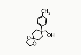 Cc1ccc(C2(CO)CCC3(CC2)OCCO3)cc1